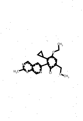 CCOc1cc(COC)c(Cl)c(-c2cc3cnc(C)nc3cn2)c1C1CC1